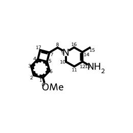 COc1ccc2c(c1)C(CN1CCC(N)=C(C)C1)=C2